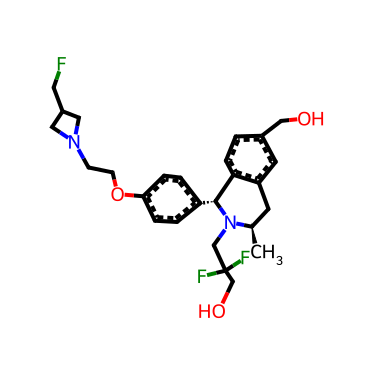 C[C@@H]1Cc2cc(CO)ccc2[C@@H](c2ccc(OCCN3CC(CF)C3)cc2)N1CC(F)(F)CO